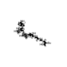 CCCCC(C(=O)SCCNC(=O)CCNC(=O)[C@H](O)C(C)(C)COP(=O)(O)OP(=O)(O)OC[C@H]1O[C@@H](n2cnc3c(N)ncnc32)[C@H](O)[C@@H]1OP(=O)(O)O)C(C)O